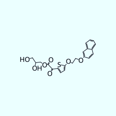 O=C(OCC(O)CO)C(=O)c1ccc(OCCOc2ccc3ccccc3c2)s1